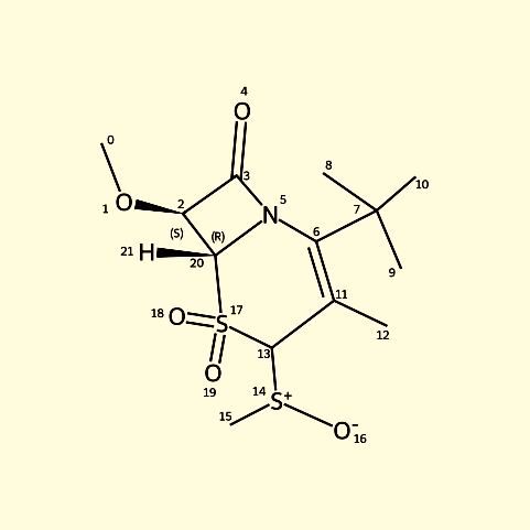 CO[C@H]1C(=O)N2C(C(C)(C)C)=C(C)C([S+](C)[O-])S(=O)(=O)[C@H]12